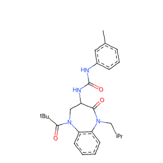 Cc1cccc(NC(=O)NC2CN(C(=O)C(C)(C)C)c3ccccc3N(CC(C)C)C2=O)c1